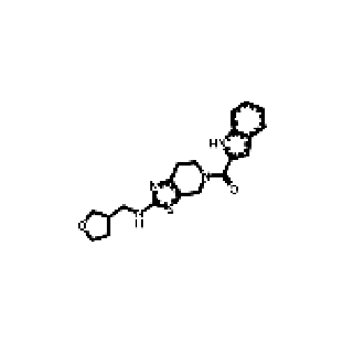 O=C(c1cc2ccccc2[nH]1)N1CCc2nc(NCC3CCOC3)sc2C1